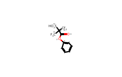 O=C(Oc1ccccc1)C(C(F)(F)F)(C(F)(F)F)S(=O)(=O)O